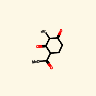 CCCC1C(=O)CCC(C(=O)OC)C1=O